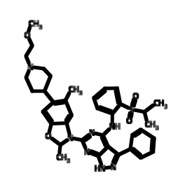 COCCN1CCC(c2cc3c(cc2C)N(c2nc(Nc4ccccc4S(=O)(=O)C(C)C)c4c(-c5ccccc5)n[nH]c4n2)C(C)O3)CC1